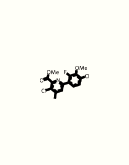 COC(=O)c1nc(-c2ccc(Cl)c(OC)c2F)cc(C)c1Cl